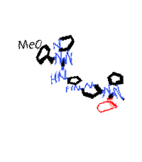 COc1ccc(Cn2c(N[C@H]3CC[C@H](Nc4ccc(-n5c(=O)n(C)c6ccccc65)cn4)C3)nc3cccnc32)cc1